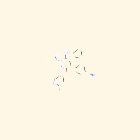 COCC(=N)n1c(=N)c(-c2ccccc2)c(-c2ccc(C#N)cc2)c(=O)n1Cc1ccc(C)nc1C